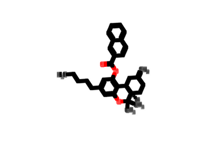 C=C1CC[C@@H]2C(C1)c1c(OC(=O)c3ccc4ccccc4c3)cc(CCCCC)cc1OC2(C)C